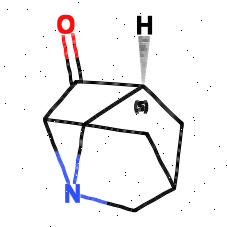 O=C1C2CC3C[C@H]1CN2C3